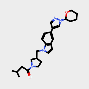 CC(C)CC(=O)N1CCC(Cn2ccc3cc(-c4cnn(C5CCCCO5)c4)ccc32)C1